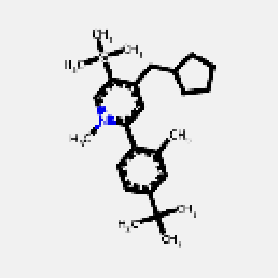 Cc1cc(C(C)(C)C)ccc1-c1cc(CC2CCCC2)c([Si](C)(C)C)c[n+]1C